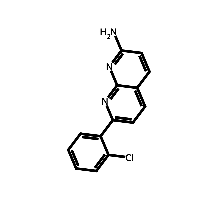 Nc1ccc2ccc(-c3ccccc3Cl)nc2n1